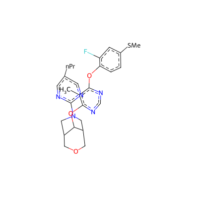 CCCc1cnc(N2CC3COCC(C2)C3Oc2ncnc(Oc3ccc(SC)cc3F)c2C)nc1